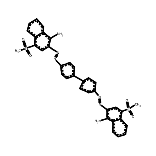 CS(=O)(=O)c1cc(/N=N/c2ccc(-c3ccc(/N=N/c4cc(S(C)(=O)=O)c5ccccc5c4N)cc3)cc2)c(N)c2ccccc12